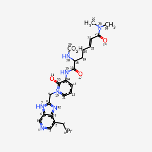 CC(C)Cc1cncc2[nH]c(Cn3cccc(NC(=O)C(CCC=CC(=O)N(C)C)NC(=O)O)c3=O)nc12